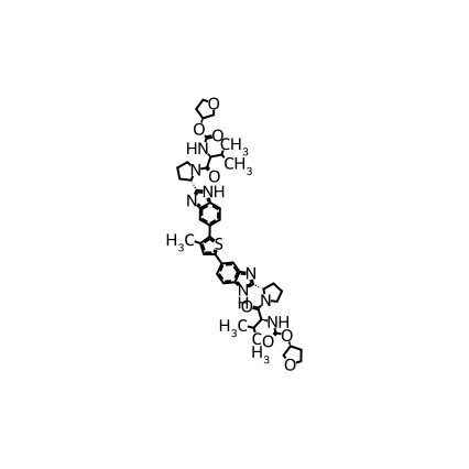 Cc1cc(-c2ccc3[nH]c([C@@H]4CCCN4C(=O)[C@@H](NC(=O)O[C@H]4CCOC4)C(C)C)nc3c2)sc1-c1ccc2[nH]c([C@@H]3CCCN3C(=O)[C@@H](NC(=O)O[C@H]3CCOC3)C(C)C)nc2c1